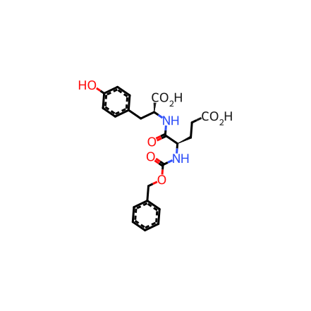 O=C(O)CC[C@@H](NC(=O)OCc1ccccc1)C(=O)N[C@@H](Cc1ccc(O)cc1)C(=O)O